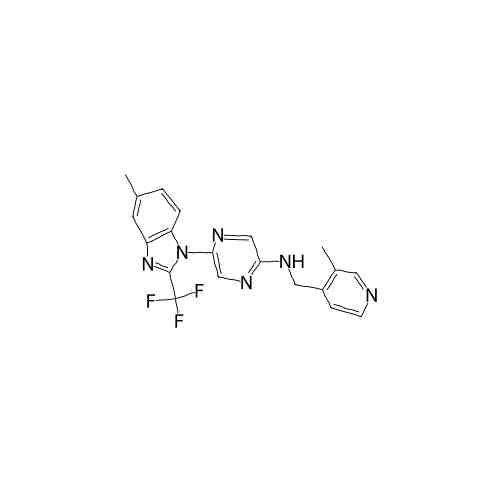 Cc1ccc2c(c1)nc(C(F)(F)F)n2-c1cnc(NCc2ccncc2C)cn1